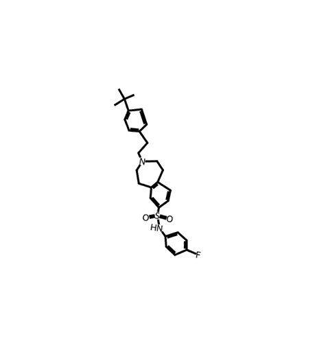 CC(C)(C)c1ccc(CCN2CCc3ccc(S(=O)(=O)Nc4ccc(F)cc4)cc3CC2)cc1